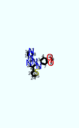 CN(c1ccc2c(c1)OCO2)c1nc(-n2ccnc2)ncc1-c1cccs1